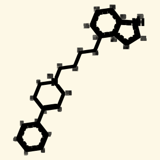 C1=C(c2ccccc2)CCN(CCCCc2cccc3[nH]ccc23)C1